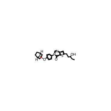 CCC(O)CCc1cc2ncn(-c3ccc(O[C@H]4C[C@H]5CC[C@@H](C4)N5C)cc3)c(=O)c2s1